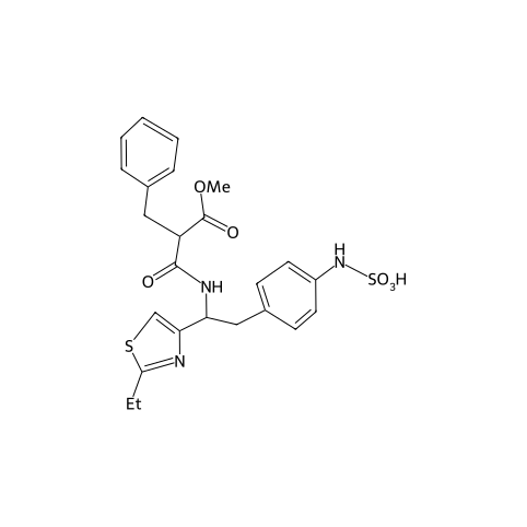 CCc1nc(C(Cc2ccc(NS(=O)(=O)O)cc2)NC(=O)C(Cc2ccccc2)C(=O)OC)cs1